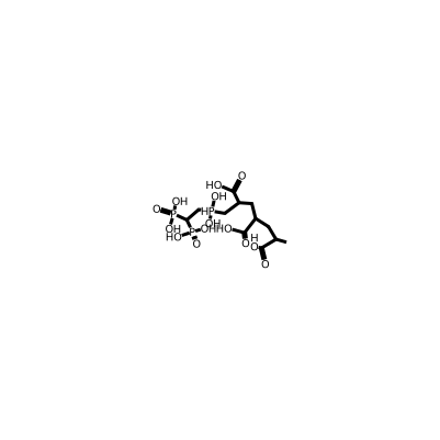 CC(CC(CC(C[PH](O)(O)CC(P(=O)(O)O)P(=O)(O)O)C(=O)O)C(=O)O)C(=O)O